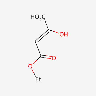 CCOC(=O)/C=C(\O)C(=O)O